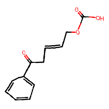 O=C(O)OCC=CCC(=O)c1ccccc1